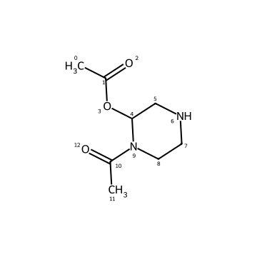 CC(=O)OC1CNCCN1C(C)=O